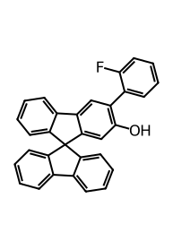 Oc1cc2c(cc1-c1ccccc1F)-c1ccccc1C21c2ccccc2-c2ccccc21